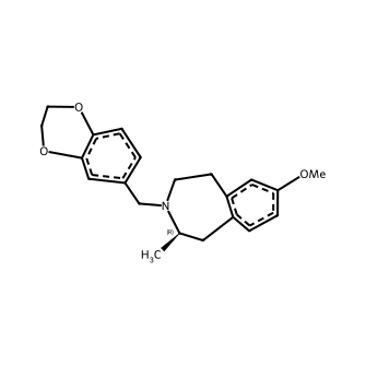 COc1ccc2c(c1)CCN(Cc1ccc3c(c1)OCCO3)[C@H](C)C2